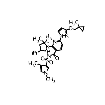 Cc1cn(C)cc1S(=O)(=O)NC(=O)c1ccc(-n2ccc(OCC3(C)CC3)n2)nc1N1CC(C(C)C)CC1(C)C